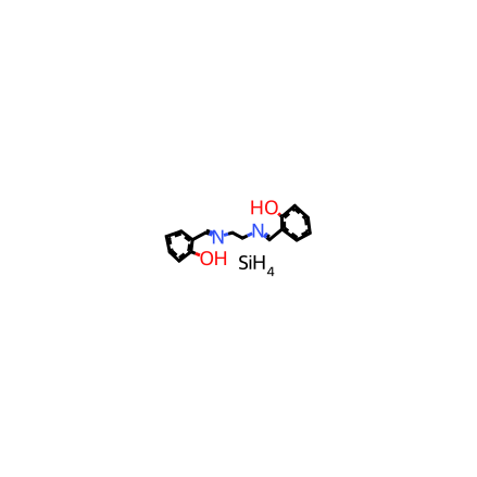 Oc1ccccc1/C=N/CC/N=C/c1ccccc1O.[SiH4]